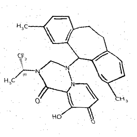 Cc1ccc2c(c1)C(N1CN([C@H](C)C(F)(F)F)C(=O)c3c(O)c(=O)ccn31)c1cc(C)ccc1CC2